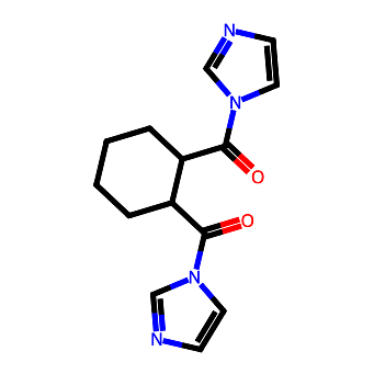 O=C(C1CCCCC1C(=O)n1ccnc1)n1ccnc1